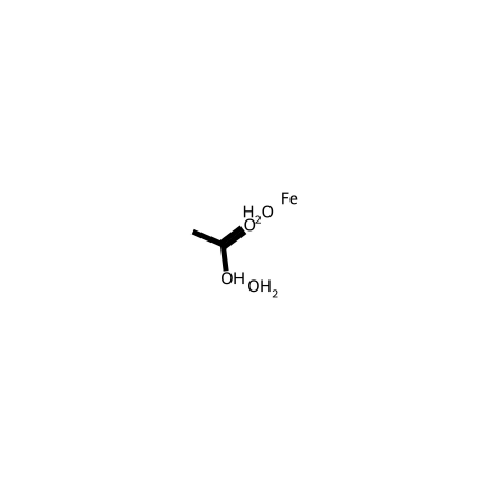 CC(=O)O.O.O.[Fe]